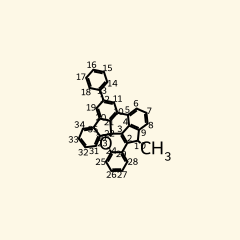 CC1C2=C3c4c(cccc41)-c1cc(-c4ccccc4)cc4c1C3(Oc1ccccc12)c1ccccc1-4